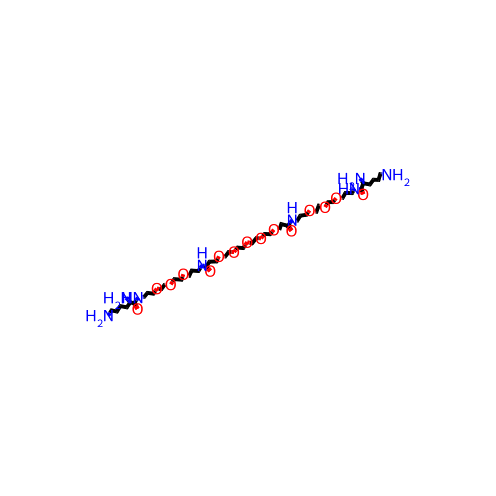 NCCCCC(N)C(=O)NCCCOCCOCCOCCCNC(=O)CCOCCOCCOCCOCCOCCC(=O)NCCCOCCOCCOCCCNC(=O)C(N)CCCCN